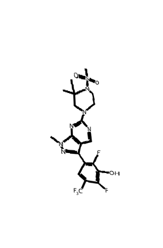 Cn1nc(-c2cc(C(F)(F)F)c(F)c(O)c2F)c2cnc(N3CCN(S(C)(=O)=O)C(C)(C)C3)nc21